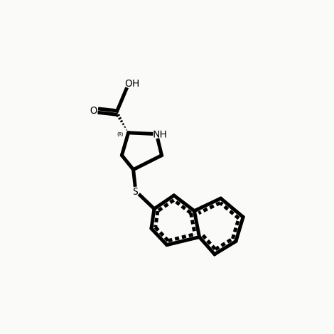 O=C(O)[C@H]1CC(Sc2ccc3ccccc3c2)CN1